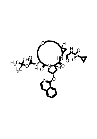 CC(C)(C)OC(=O)N[C@H]1CCCOCCC[C@@H]2C[C@@]2(C(=O)NS(=O)(=O)C2CC2)NC(=O)[C@@H]2C[C@@H](Oc3nccc4ccccc34)CN2C1=O